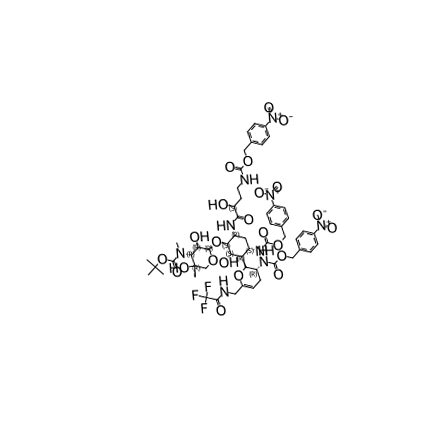 CN(C(=O)OC(C)(C)C)[C@@H]1[C@@H](O)[C@@H](O[C@@H]2[C@@H](O)[C@H](C3OC(CNC(=O)C(F)(F)F)=CC[C@H]3NC(=O)OCc3ccc([N+](=O)[O-])cc3)[C@@H](NC(=O)OCc3ccc([N+](=O)[O-])cc3)C[C@H]2NC(=O)[C@@H](O)CCNC(=O)OCc2ccc([N+](=O)[O-])cc2)OC[C@]1(C)O